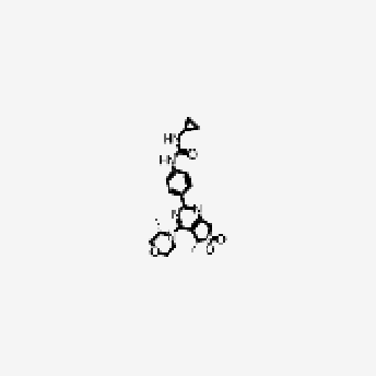 C[C@@H]1c2c(nc(-c3ccc(NC(=O)NC4CC4)cc3)nc2N2CCOC[C@@H]2C)CS1(=O)=O